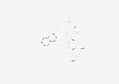 C=C[C@@H]1C[C@]1(NC(=O)C1C[C@@H](Oc2cc(C3CC3)nc3cc(OC)ccc23)CN1C(=O)C(NC(=O)OC(C)(C)C)C(C)(C)C)C(=O)O